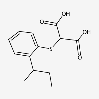 CCC(C)c1ccccc1SC(C(=O)O)C(=O)O